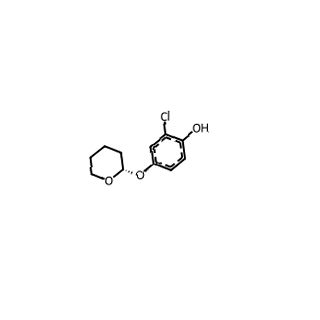 Oc1ccc(O[C@H]2CCCCO2)cc1Cl